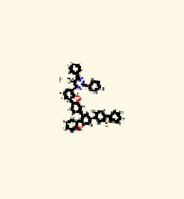 Cc1c(-c2ccccc2)nc(-c2ccccc2)nc1-c1cccc2c1oc1cc(-c3cc(-c4ccc5c(c4)sc4ccccc45)cc4oc5ccccc5c34)ccc12